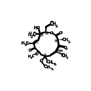 CC[C@H]1OC(=O)[C@H](C)C(=O)[C@H](C)C[C@](C)(OC)C[C@@H](C)C(=O)/C(C)=C/[C@]1(C)O